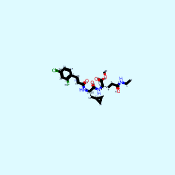 CCNC(=O)CC[C@H](NC(=O)[C@H](CC1CC1)NC(=O)/C=C/c1ccc(Cl)cc1F)C(=O)OC